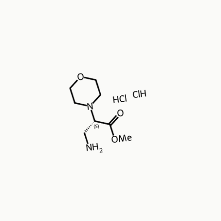 COC(=O)[C@H](CN)N1CCOCC1.Cl.Cl